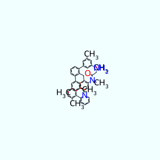 Cc1cc(C)cc(-c2cccc(-c3cc(C)cc(C)c3)c2Cc2cc(-c3cccc(C)c3-c3ccccn3)ccc2N(C)C(=O)CN)c1